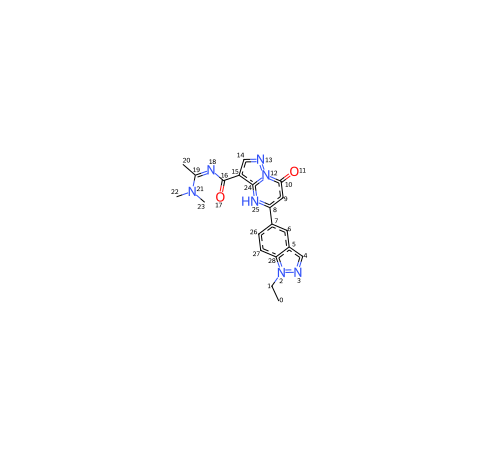 CCn1ncc2cc(-c3cc(=O)n4ncc(C(=O)/N=C(/C)N(C)C)c4[nH]3)ccc21